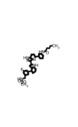 CCCCC(=O)Nc1cccc(-c2ccc3[nH]nc(-c4cc5c(-c6cc(F)cc(CNS(C)(=O)=O)c6)cccc5[nH]4)c3n2)c1